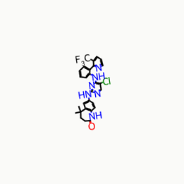 CC1(C)CCC(=O)Nc2ccc(Nc3ncc(Cl)c(Nc4ccccc4-c4ncccc4C(F)(F)F)n3)cc21